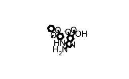 COc1ccccc1Oc1ccc(Nc2c(N)cnc3cc(C(=O)O)c(OC)cc23)cc1